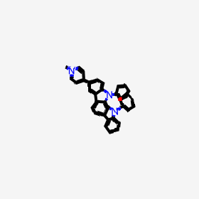 C[n+]1ccc(-c2ccc3c(c2)c2ccc4c5ccccc5n(-c5ccccc5)c4c2n3-c2ccccc2)cc1